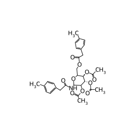 CC(=O)OC1[C@H](NC(=O)Cc2ccc(C)cc2)OC(COC(=O)Cc2ccc(C)cc2)[C@@H](OC(C)=O)[C@@H]1OC(C)=O